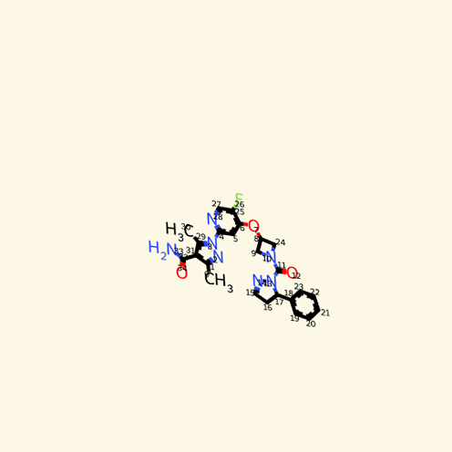 Cc1nn(-c2cc(OC3CN(C(=O)N4N=CCC4c4ccccc4)C3)c(F)cn2)c(C)c1C(N)=O